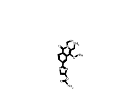 CCCCOc1c(CN)n(CC(C)C)c(=O)c2ccc(-c3nc(OC(N)=O)cs3)cc12